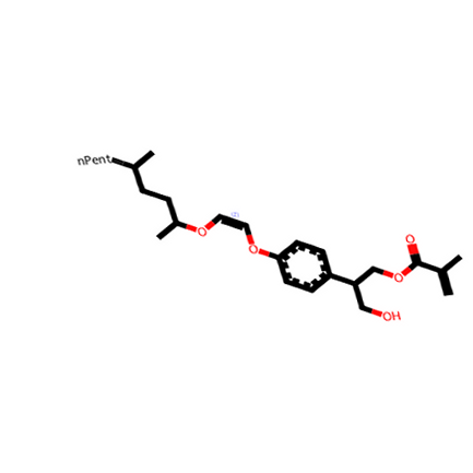 C=C(C)C(=O)OCC(CO)c1ccc(O/C=C\OC(C)CCC(C)CCCCC)cc1